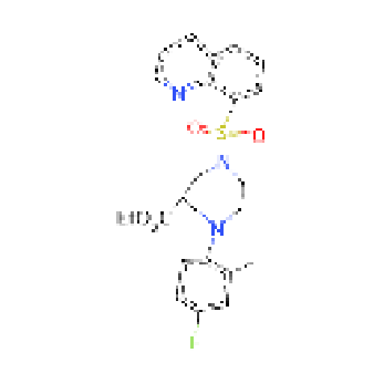 CCOC(=O)C1CN(S(=O)(=O)c2cccc3cccnc23)CCN1c1ccc(F)cc1C